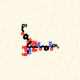 C#CCCOc1ccc(CO[C@]2(C(=O)O)C[C@H](O)[C@@H](NC(=O)CO)[C@H]([C@H](O)[C@H](O)CNC(=O)Cc3cccc(NC(C)=O)c3)O2)cc1